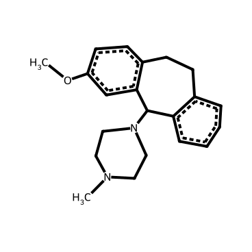 COc1ccc2c(c1)C(N1CCN(C)CC1)c1ccccc1CC2